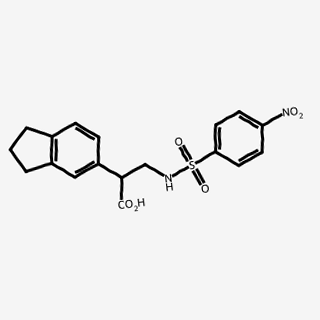 O=C(O)C(CNS(=O)(=O)c1ccc([N+](=O)[O-])cc1)c1ccc2c(c1)CCC2